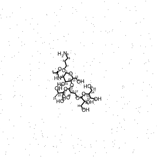 CC(=O)NC1C(OCCCN)OC(CO)C(OC(OC(CO)[C@@H](C)O)[C@@H](O)COC(OC(CO)[C@@H](C)O)[C@@H](O)CO)C1O